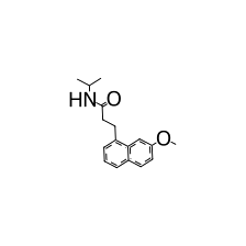 COc1ccc2cccc(CCC(=O)NC(C)C)c2c1